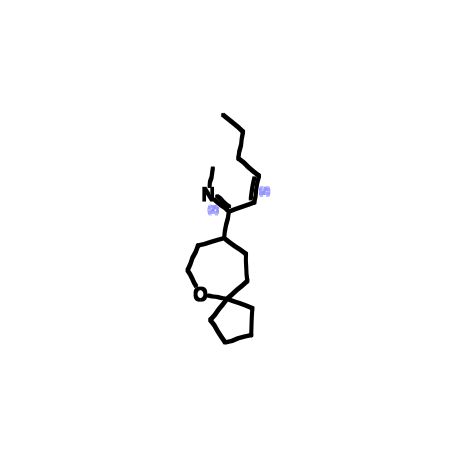 CCC/C=C\C(=N/C)C1CCOC2(CCCC2)CC1